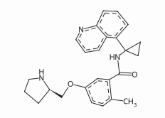 Cc1ccc(OC[C@H]2CCCN2)cc1C(=O)NC1(c2cccc3ncccc23)CC1